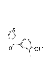 Cc1cc(C(=O)c2ccsc2)ccc1O